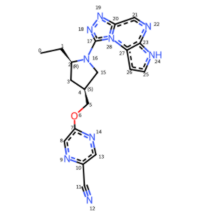 CC[C@@H]1C[C@H](COc2cnc(C#N)cn2)CN1c1nnc2cnc3[nH]ccc3n12